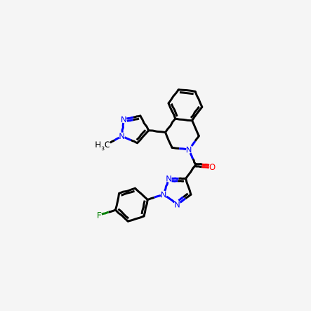 Cn1cc(C2CN(C(=O)c3cnn(-c4ccc(F)cc4)n3)Cc3ccccc32)cn1